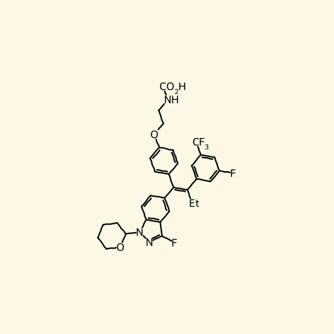 CCC(=C(c1ccc(OCCNC(=O)O)cc1)c1ccc2c(c1)c(F)nn2C1CCCCO1)c1cc(F)cc(C(F)(F)F)c1